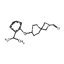 CC(C)c1ccccc1OC1CCC2(CC1)CN(C=O)C2